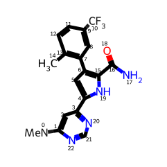 CNc1cc(-c2cc(-c3cc(C(F)(F)F)ccc3C)c(C(N)=O)[nH]2)ncn1